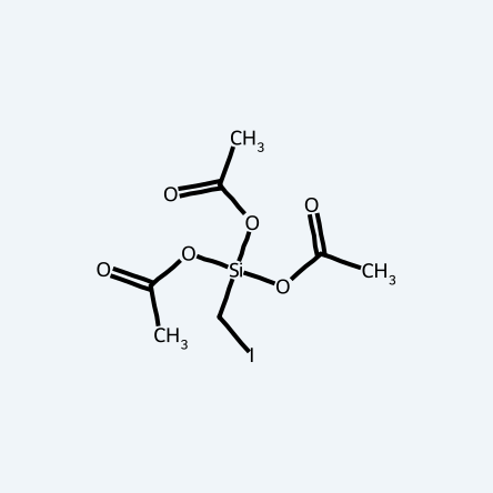 CC(=O)O[Si](CI)(OC(C)=O)OC(C)=O